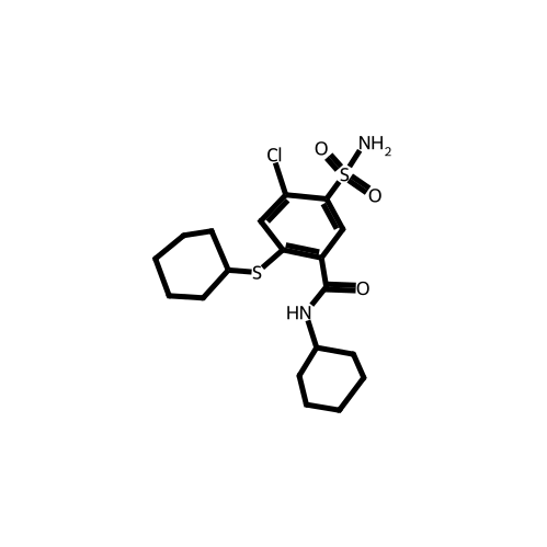 NS(=O)(=O)c1cc(C(=O)NC2CCCCC2)c(SC2CCCCC2)cc1Cl